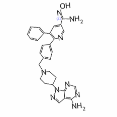 N/C(=N\O)c1cnc(-c2ccc(CN3CCC(n4ncc5c(N)ncnc54)CC3)cc2)c(-c2ccccc2)c1